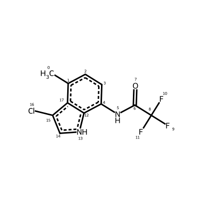 Cc1ccc(NC(=O)C(F)(F)F)c2[nH]cc(Cl)c12